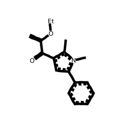 C=C(OCC)C(=O)c1cc(-c2ccccc2)n(C)c1C